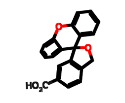 O=C(O)c1ccc2c(c1)C1(OC2)c2ccccc2Oc2ccccc21